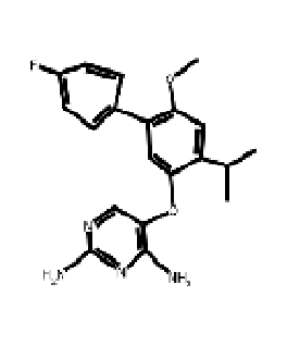 COc1cc(C(C)C)c(Oc2cnc(N)nc2N)cc1-c1ccc(F)cc1